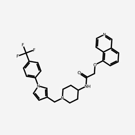 O=C(COc1cccc2cnccc12)NC1CCN(Cc2ccn(-c3ccc(C(F)(F)F)cc3)c2)CC1